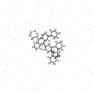 C1=CCCC(c2c3ccccc3c(-c3ccc(-n4c(-c5ccccc5)nc5ccccc54)cc3)c3cc(-c4ccccc4)ccc23)=C1